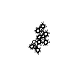 N#Cc1ccc(-n2c3ccccc3c3cccc(C#N)c32)cc1-c1ccccc1-n1c2ccccc2c2c(-n3c4ccccc4c4ccccc43)cccc21